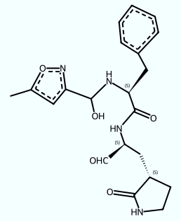 Cc1cc(C(O)N[C@@H](Cc2ccccc2)C(=O)N[C@H](C=O)C[C@@H]2CCNC2=O)no1